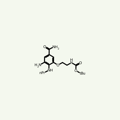 CCCNc1c(N)cc(C(N)=O)cc1OCCNC(=O)OC(C)(C)C